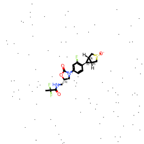 CC(F)(F)C(=O)NC[C@H]1CN(c2ccc([C@H]3[C@@H]4C[S+]([O-])C[C@@H]43)c(F)c2)C(=O)O1